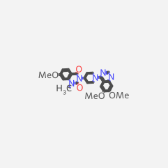 COc1ccc2c(=O)n(C3CCN(c4ncnc5cc(OC)c(OC)cc45)CC3)c(=O)n(C)c2c1